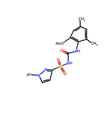 COc1cc(C)cc(C)c1NC(=O)NS(=O)(=O)c1ccn(C(C)C)n1